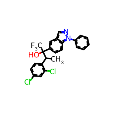 CC(c1ccc(Cl)cc1Cl)C(O)(c1ccc2c(cnn2-c2ccccc2)c1)C(F)(F)F